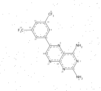 Nc1nc(N)c2nc(-c3cc(C(F)(F)F)cc(C(F)(F)F)c3)cnc2n1